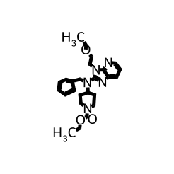 CCOCCn1c(N(Cc2ccccc2)C2CCN(C(=O)OCC)CC2)nc2cccnc21